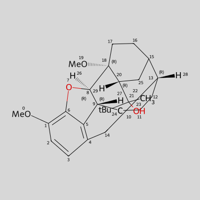 COc1ccc2c3c1O[C@@H]1[C@@H]3CCC[C@H](C2)C2CC[C@@]1(OC)[C@@H](C(C)(O)C(C)(C)C)C2